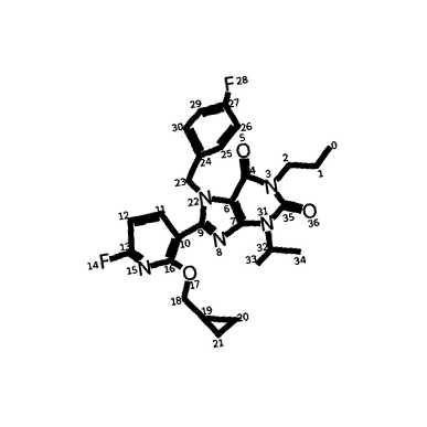 CCCn1c(=O)c2c(nc(-c3ccc(F)nc3OCC3CC3)n2Cc2ccc(F)cc2)n(C(C)C)c1=O